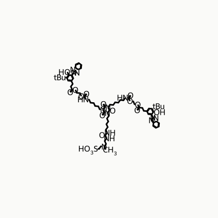 CN(CCNC(=O)NCCCCCCn1c(=O)n(CCCCCCNC(=O)OCCOC(=O)CCc2cc(-n3nc4ccccc4n3)c(O)c(C(C)(C)C)c2)c(=O)n(CCCCCCNC(=O)OCCOC(=O)CCc2cc(-n3nc4ccccc4n3)c(O)c(C(C)(C)C)c2)c1=O)CCS(=O)(=O)O